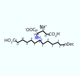 CCCCCCCCCCCCCCCCCCCCCC(=O)O.N[C@@H](CCC(=O)O)C(=O)[O-].[Na+]